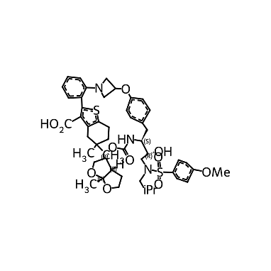 COc1ccc(S(=O)(=O)N(CC(C)C)C[C@@H](O)[C@H](Cc2ccc(OC3CN(c4ccccc4-c4sc5c(c4C(=O)O)CC(C)(C)CC5)C3)cc2)NC(=O)O[C@H]2CO[C@@]3(C)OCC[C@@H]23)cc1